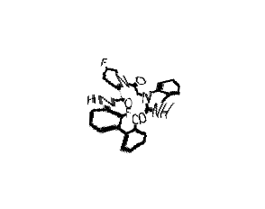 O=C(Nc1cccc(-c2ccccc2Cl)c1F)[C@@H]1C[C@@H](F)CN1C(=O)Cn1c(=O)[nH]c2ccccc21